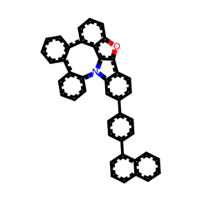 c1ccc2c(-c3ccc(-c4ccc5c6oc7cccc8c9ccccc9c9ccccc9n(c5c4)c6c78)cc3)cccc2c1